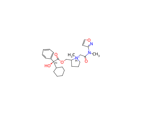 CN(C(=O)C[N@@+]1(C)CCCC1COC(=O)[C@@](O)(c1ccccc1)C1CCCCC1)c1ccon1